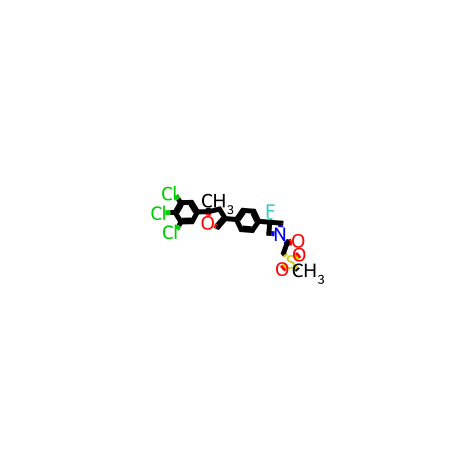 CC1(c2cc(Cl)c(Cl)c(Cl)c2)CC(c2ccc(C3(F)CN(C(=O)CS(C)(=O)=O)C3)cc2)=CO1